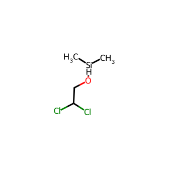 C[SiH](C)OCC(Cl)Cl